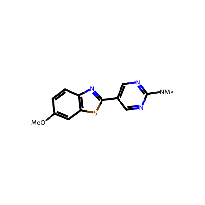 CNc1ncc(-c2nc3ccc(OC)cc3s2)cn1